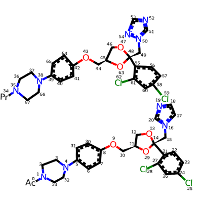 CC(=O)N1CCN(c2ccc(OC[C@H]3CO[C@](Cn4ccnc4)(c4ccc(Cl)cc4Cl)O3)cc2)CC1.CC(C)N1CCN(c2ccc(OC[C@H]3CO[C@](Cn4cncn4)(c4ccc(Cl)cc4Cl)O3)cc2)CC1